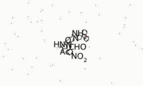 CC(=O)C1=C(C)NC(COCCCN)=C(N(C=O)CCCN2CCC(c3ccccc3)(c3ccccc3)CC2)C1c1ccc([N+](=O)[O-])cc1